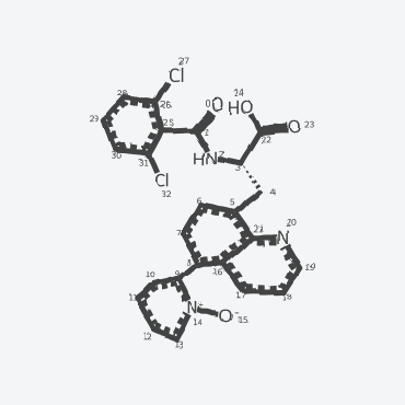 O=C(N[C@@H](Cc1ccc(-c2cccc[n+]2[O-])c2cccnc12)C(=O)O)c1c(Cl)cccc1Cl